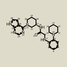 O=C(CNc1ccccc1N1CCCCC1)N[C@@H]1CCCN(c2ncnc3[nH]ccc23)C1